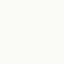 [H]/N=C(/S)N(C)N=Cc1c(Cl)cccc1Cl